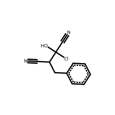 N#CC(Cc1ccccc1)C(O)(Cl)C#N